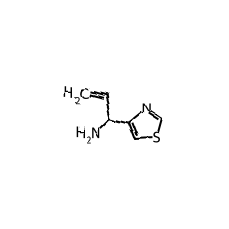 C=CC(N)c1cscn1